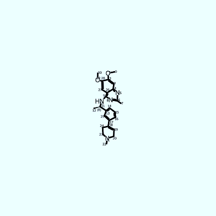 COc1cc2nc(C)nc(N[C@H](C)c3cccc(C4=CCN(C)CC4)c3)c2cc1OC